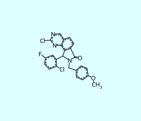 COc1ccc(CN2C(=O)c3ccc4cnc(Cl)nc4c3C2c2cc(F)ccc2Cl)cc1